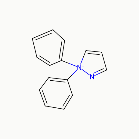 C1=C[N+](c2ccccc2)(c2ccccc2)N=C1